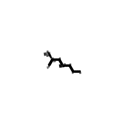 CCCNC[C@@H](N)I